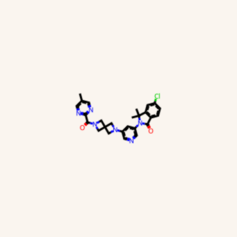 Cc1cnc(C(=O)N2CC3(C2)CN(c2cncc(N4C(=O)c5ccc(Cl)cc5C4(C)C)c2)C3)nc1